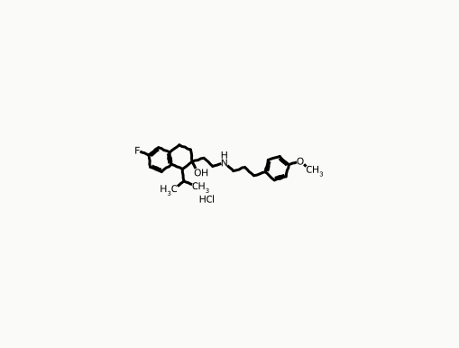 COc1ccc(CCCNCCC2(O)CCc3cc(F)ccc3C2C(C)C)cc1.Cl